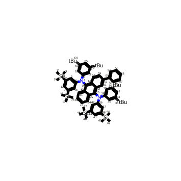 CC(C)(C)c1cc(N(c2cc([Si](C)(C)C)cc([Si](C)(C)C)c2)c2c3ccccc3c(N(c3cc(C(C)(C)C)cc(C(C)(C)C)c3)c3cc([Si](C)(C)C)cc([Si](C)(C)C)c3)c3cc(-c4ccccc4)ccc23)cc(C(C)(C)C)c1